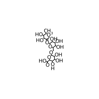 CC1OC[C@@H](OC2OC(COC3OC(C(=O)O)C(O)C(O)C3O)C(O)C(O)C2O)C(O)C1O